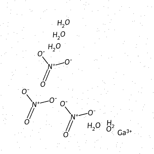 O.O.O.O.O.O=[N+]([O-])[O-].O=[N+]([O-])[O-].O=[N+]([O-])[O-].[Ga+3]